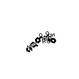 CC1CN(c2ncccn2)CCN1c1ccc(C(=O)NC[C@H](NS(=O)(=O)c2ccccc2)C(=O)O)cc1